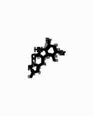 Cc1cc(C=C2C(=O)Nc3c(Br)cc(Br)c(C)c32)[nH]n1